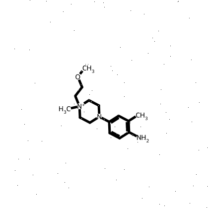 COCC[N+]1(C)CCN(c2ccc(N)c(C)c2)CC1